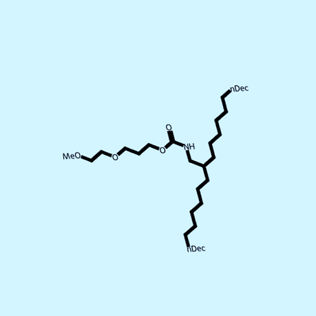 CCCCCCCCCCCCCCCCC(CCCCCCCCCCCCCCCC)CNC(=O)OCCCOCCOC